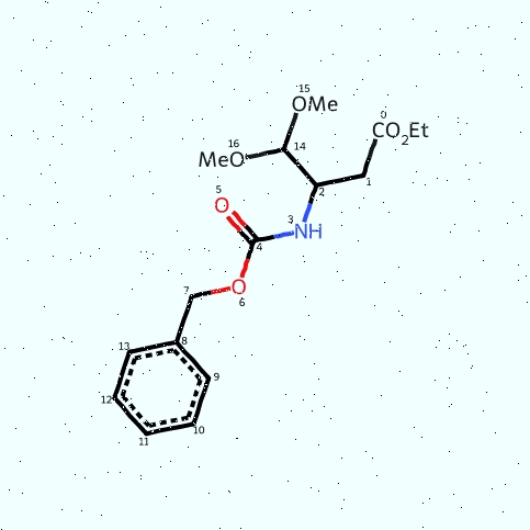 CCOC(=O)CC(NC(=O)OCc1ccccc1)C(OC)OC